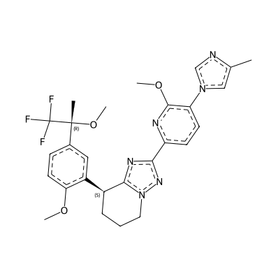 COc1ccc([C@@](C)(OC)C(F)(F)F)cc1[C@@H]1CCCn2nc(-c3ccc(-n4cnc(C)c4)c(OC)n3)nc21